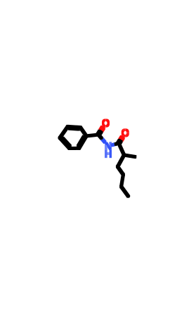 CCCCC(C)C(=O)NC(=O)c1ccccc1